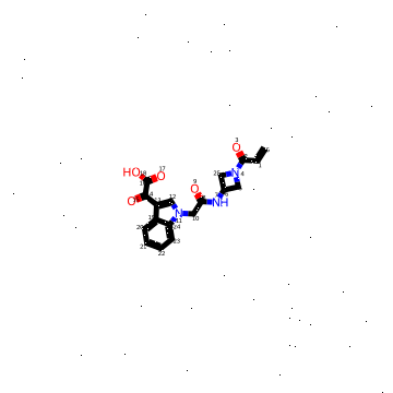 C=CC(=O)N1CC(NC(=O)Cn2cc(C(=O)C(=O)O)c3ccccc32)C1